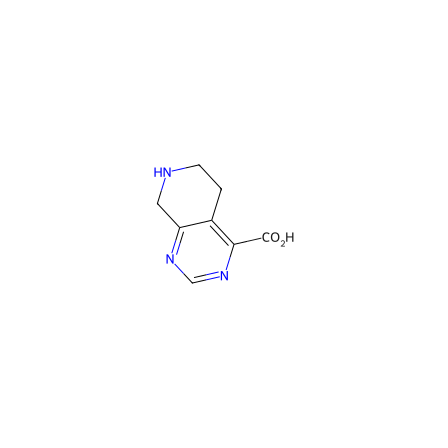 O=C(O)c1ncnc2c1CCNC2